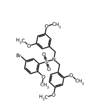 COc1cc(CN(Cc2ccc(OC)cc2OC)S(=O)(=O)c2cc(Br)ccc2OC)cc(OC)c1